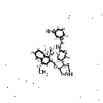 COc1cc(COC2CNCCC2c2cnc(NCc3cccc(Br)c3)nc2)c(OC)c2ccccc12